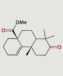 COC(=O)[C@]12CCCC=C1[C@@]1(C)CCC(=O)C(C)(C)C1CC2